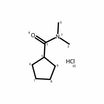 CN(C)C(=O)C1CCCC1.Cl